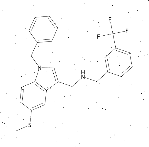 CSc1ccc2c(c1)c(CNCc1cccc(C(F)(F)F)c1)cn2Cc1ccccc1